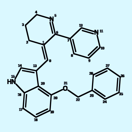 C(=C1/CCCN=C1c1cccnc1)/c1c[nH]c2cccc(OCc3ccccc3)c12